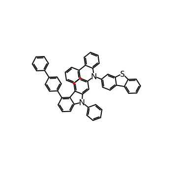 c1ccc(-c2ccc(-c3cccc4c3c3ccc(N(c5ccc6c(c5)sc5ccccc56)c5ccccc5-c5ccccc5)cc3n4-c3ccccc3)cc2)cc1